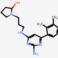 Cc1cccc(-c2cc(NCCCN3CCCC3O)nc(N)n2)c1C